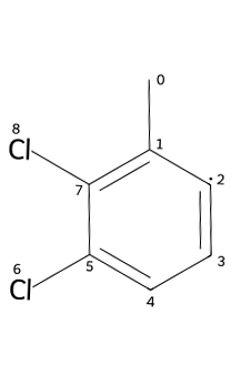 Cc1[c]ccc(Cl)c1Cl